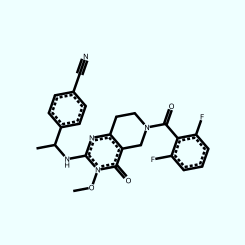 COn1c(NC(C)c2ccc(C#N)cc2)nc2c(c1=O)CN(C(=O)c1c(F)cccc1F)CC2